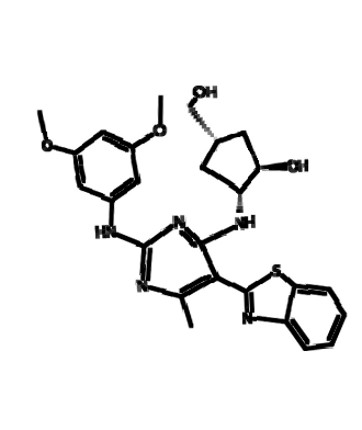 COc1cc(Nc2nc(C)c(-c3nc4ccccc4s3)c(N[C@@H]3C[C@H](CO)C[C@H]3O)n2)cc(OC)c1